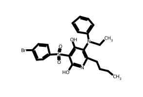 CCCCc1nc(O)c(S(=O)(=O)c2ccc(Br)cc2)c(O)c1N(CC)c1ccccc1